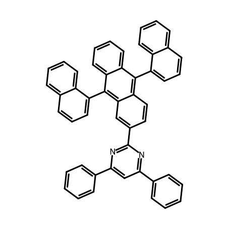 c1ccc(-c2cc(-c3ccccc3)nc(-c3ccc4c(-c5cccc6ccccc56)c5ccccc5c(-c5cccc6ccccc56)c4c3)n2)cc1